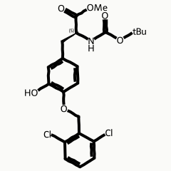 COC(=O)[C@H](Cc1ccc(OCc2c(Cl)cccc2Cl)c(O)c1)NC(=O)OC(C)(C)C